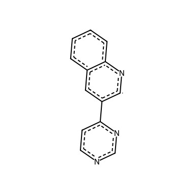 [c]1nc2ccccc2cc1-c1ccncn1